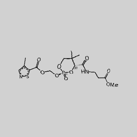 COC(=O)CCNC(=O)[C@@H]1O[P@@](=O)(OCOC(=O)c2sncc2C)OCC1(C)C